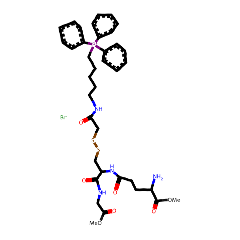 COC(=O)CNC(=O)C(CSSCC(=O)NCCCCC[P+](c1ccccc1)(c1ccccc1)c1ccccc1)NC(=O)CCC(N)C(=O)OC.[Br-]